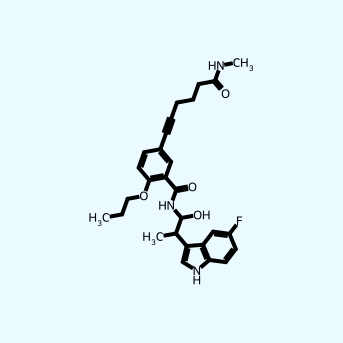 CCCOc1ccc(C#CCCCC(=O)NC)cc1C(=O)NC(O)C(C)c1c[nH]c2ccc(F)cc12